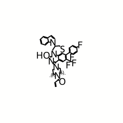 C=CC(=O)N1[C@H](C)CN(C2=NC(O)N3CC(n4ccc5ccccc54)CSc4c(-c5ccc(F)cc5)c(C(F)(F)F)cc2c43)C[C@@H]1C